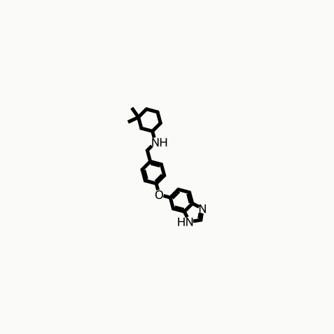 CC1(C)CCCC(NCc2ccc(Oc3ccc4nc[nH]c4c3)cc2)C1